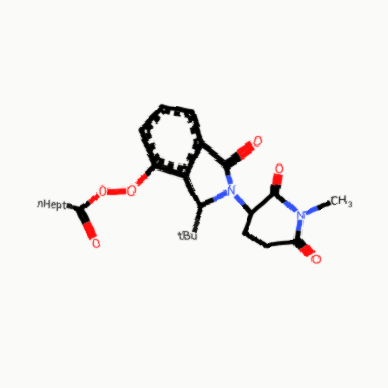 CCCCCCCC(=O)OOc1cccc2c1C(C(C)(C)C)N(C1CCC(=O)N(C)C1=O)C2=O